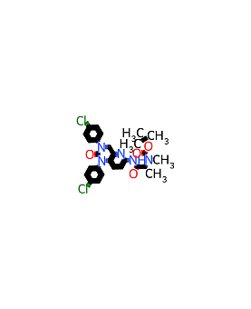 C[C@@H](C(=O)Nc1ccc2c(n1)CN(c1ccc(Cl)cc1)C(=O)N2c1ccc(Cl)cc1)N(C)C(=O)OC(C)(C)C